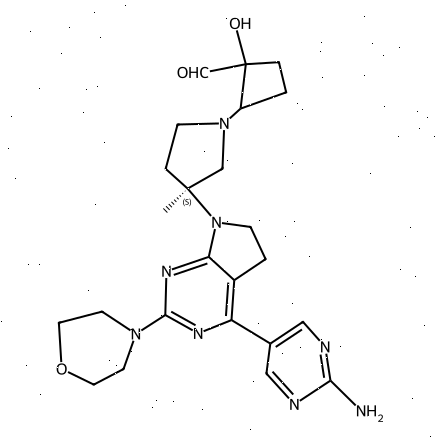 C[C@]1(N2CCc3c(-c4cnc(N)nc4)nc(N4CCOCC4)nc32)CCN(C2CCC2(O)C=O)C1